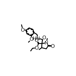 CCOC(=O)C1(C(=O)NCc2ccc(OC)cc2OC)C(C)CC(=O)N1C